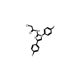 O=C(CCl)Nc1nc(-c2ccc(F)cc2)cn1-c1ccc(F)cc1